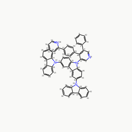 c1ccc(-c2cncc(-n3c4ccc(-n5c6ccccc6c6ccccc65)cc4c4cc(-n5c6ccccc6c6ccccc65)ccc43)c2-c2ccc(-c3ccccn3)cc2)cc1